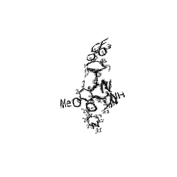 COc1ccc2c(-c3ccc(OC(=O)C(F)(F)F)cc3)nc3[nH]nc(C)c3c2c1OCC1CCN(C)CC1